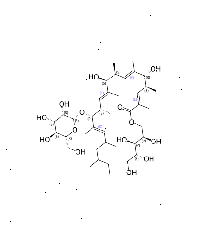 CCC(C)CC(C)/C=C(\C)[C@H](O[C@@H]1O[C@H](CO)[C@@H](O)[C@H](O)[C@@H]1O)[C@@H](C)/C=C(\C)[C@@H](O)[C@@H](C)/C=C(\C)[C@H](O)[C@@H](C)/C=C(\C)C(=O)OC[C@@H](O)[C@H](O)[C@H](O)CO